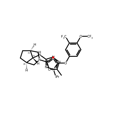 Cc1nnc(N2C[C@H]3CC[C@@H](C2)[C@@H]3Nc2nc(Oc3ccc(OC(F)(F)F)c(C(F)(F)F)c3)n(C(C)C)n2)o1